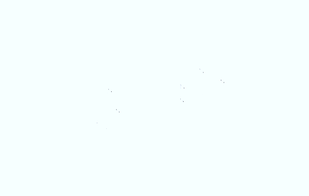 Cc1ncc2cnn(Cc3ccc(-c4nc(C(F)(F)F)c[nH]4)cc3)c2n1